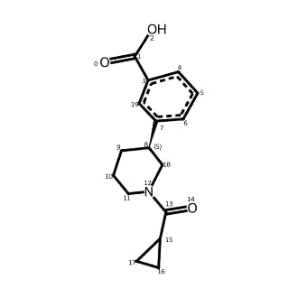 O=C(O)c1cccc([C@@H]2CCCN(C(=O)C3CC3)C2)c1